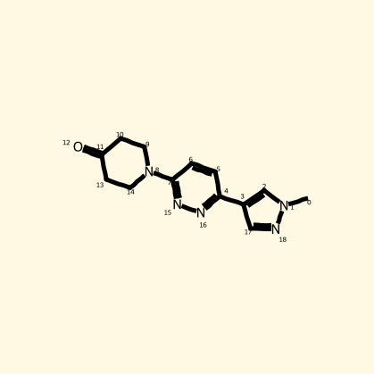 Cn1cc(-c2ccc(N3CCC(=O)CC3)nn2)cn1